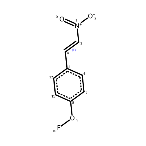 O=[N+]([O-])/C=C/c1ccc(OF)cc1